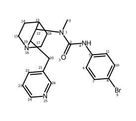 CN(C(=O)Nc1ccc(Br)cc1)C1C2CCN(CC2)C1Cc1cccnc1